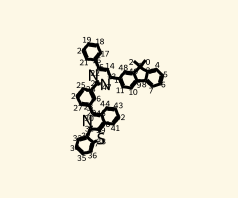 CC1(C)c2ccccc2-c2ccc(-c3cc(-c4ccccc4)nc(-c4cccc(-c5nc6c7ccccc7sc6c6ccccc56)c4)n3)cc21